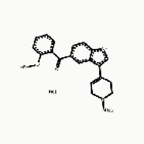 CCCCCCN1CC=C(c2c[nH]c3ccc(C(=O)c4ccccc4OCCC)cc23)CC1.Cl